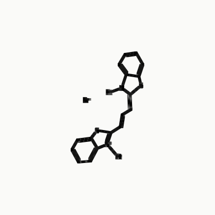 CCN1C(=CC=Cc2sc3ccccc3[n+]2CC)Sc2ccccc21.[Br-]